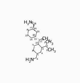 CC(C)C1CC(CN)CCC1C(C)[C@@H]1CCC[C@@H](CN)C1